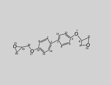 c1cc(-c2ccc(OC3COC3)cc2)ccc1OCC1CO1